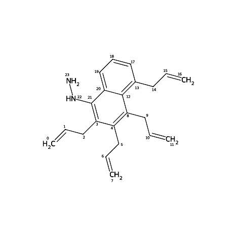 C=CCc1c(CC=C)c(CC=C)c2c(CC=C)cccc2c1NN